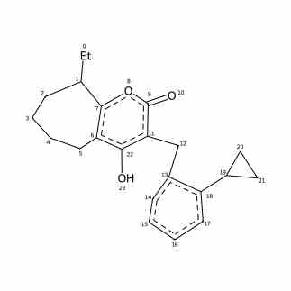 CCC1CCCCc2c1oc(=O)c(Cc1ccccc1C1CC1)c2O